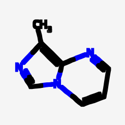 Cc1ncn2cccnc12